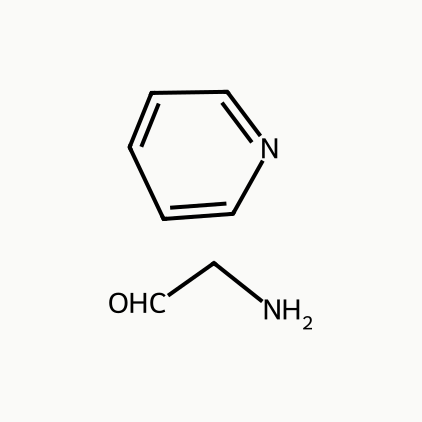 NCC=O.c1ccncc1